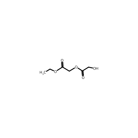 CCOC(=O)COC(=O)CO